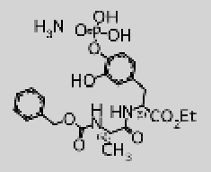 CCOC(=O)[C@H](Cc1ccc(OP(=O)(O)O)c(O)c1)NC(=O)[C@H](C)NC(=O)OCc1ccccc1.N